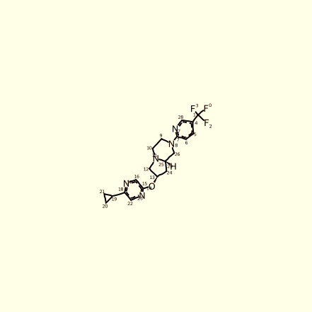 FC(F)(F)c1ccc(N2CCN3C[C@H](Oc4cnc(C5CC5)cn4)C[C@H]3C2)nc1